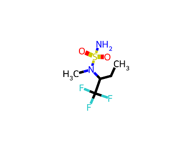 CCC(N(C)S(N)(=O)=O)C(F)(F)F